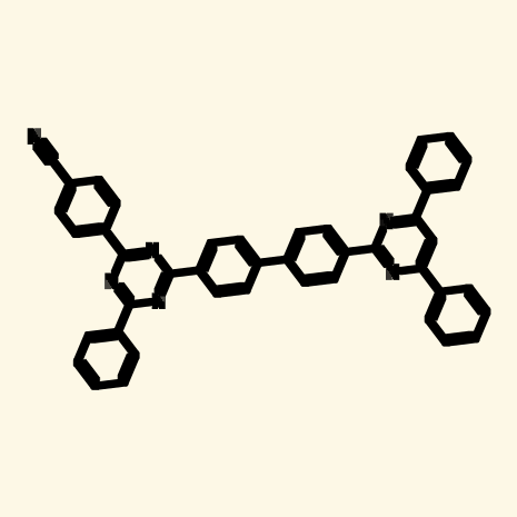 N#Cc1ccc(-c2nc(-c3ccccc3)nc(-c3ccc(-c4ccc(-c5nc(-c6ccccc6)cc(-c6ccccc6)n5)cc4)cc3)n2)cc1